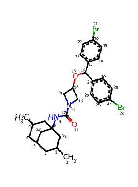 CC1CC2CC(C)CC(NC(=O)N3CC(OC(c4ccc(Br)cc4)c4ccc(Br)cc4)C3)(C1)C2